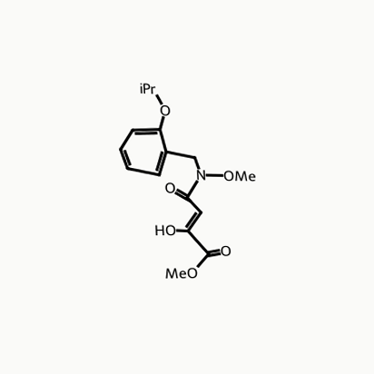 COC(=O)/C(O)=C/C(=O)N(Cc1ccccc1OC(C)C)OC